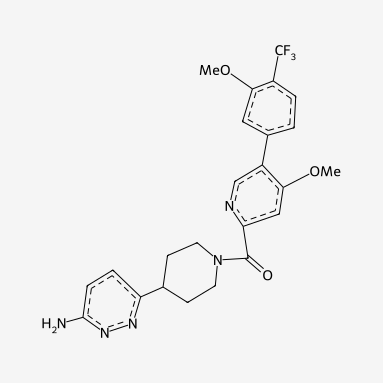 COc1cc(C(=O)N2CCC(c3ccc(N)nn3)CC2)ncc1-c1ccc(C(F)(F)F)c(OC)c1